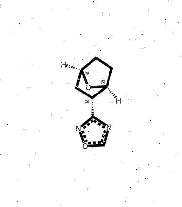 c1nc([C@@H]2C[C@H]3CC[C@@H]2O3)no1